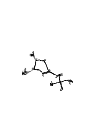 CCCC(C)(CC)NC1C[C@@H](O)[C@@H](O)C1